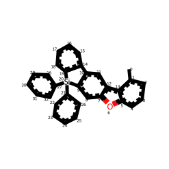 Cc1cccc2oc3cc4c(cc3c12)-c1ccccc1[Si]4(c1ccccc1)c1ccccc1